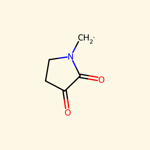 [CH2]N1CCC(=O)C1=O